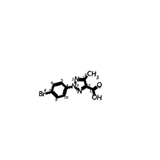 Cc1nn(-c2ccc(Br)cc2)nc1C(=O)O